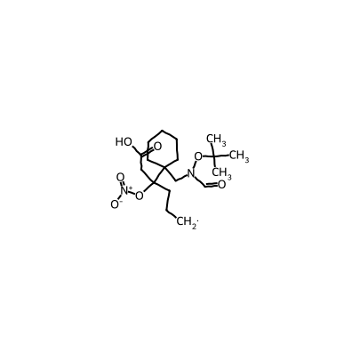 [CH2]CCC(CC(=O)O)(O[N+](=O)[O-])C1(CN(C=O)OC(C)(C)C)CCCCC1